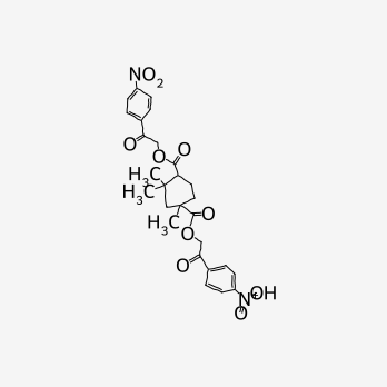 CC1(C(=O)OCC(=O)c2ccc([N+](=O)O)cc2)CCC(C(=O)OCC(=O)c2ccc([N+](=O)[O-])cc2)C(C)(C)C1